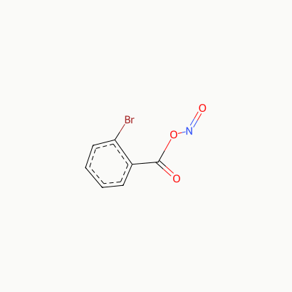 O=NOC(=O)c1ccccc1Br